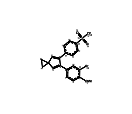 COc1ccc(C2=CC3(C=C2c2ccc(S(=O)(=O)C(F)(F)F)cc2)CC3)cc1Br